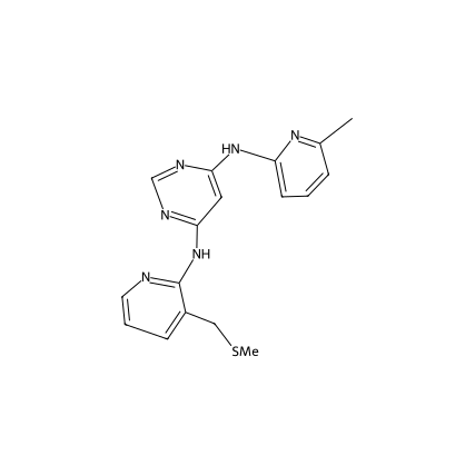 CSCc1cccnc1Nc1cc(Nc2cccc(C)n2)ncn1